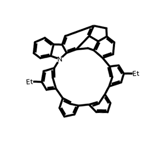 CCc1cc2cc(c1)-c1ccc3c4c1Cc1c-4c(cc4c5ccccc5n(c14)-c1cc(CC)cc(c1)-c1cccc(c1)-c1cccc-2c1)C3